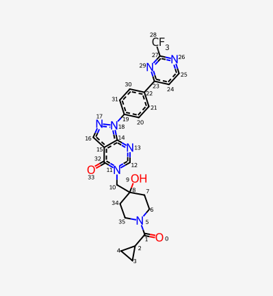 O=C(C1CC1)N1CCC(O)(Cn2cnc3c(cnn3-c3ccc(-c4ccnc(C(F)(F)F)n4)cc3)c2=O)CC1